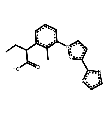 CCC(C(=O)O)c1cccc(-n2ccc(-c3nccs3)n2)c1C